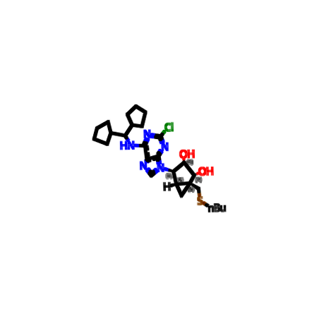 CCCCSC[C@@]12C[C@@H]1[C@@H](n1cnc3c(NC(C4CCCC4)C4CCCC4)nc(Cl)nc31)[C@H](O)[C@@H]2O